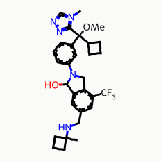 CO[C@@](c1cccc(N2Cc3c(cc(CNC4(C)CCC4)cc3C(F)(F)F)C2O)c1)(c1nncn1C)C1CCC1